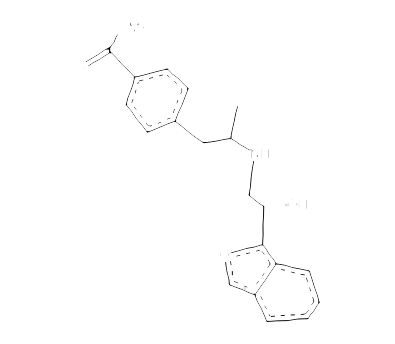 COC(=O)c1ccc(CC(C)NC[C@H](O)c2occ3ccccc23)cc1